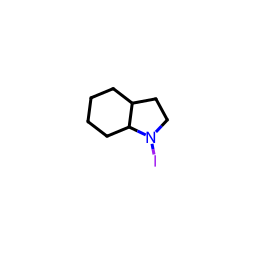 IN1CCC2CCCCC21